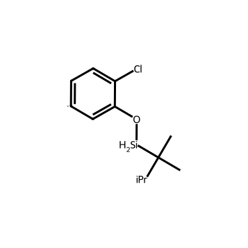 CC(C)C(C)(C)[SiH2]Oc1c[c]ccc1Cl